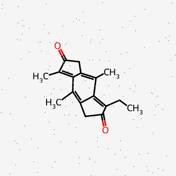 CCC1=c2c(C)c3c(c(C)c2CC1=O)=C(C)C(=O)C3